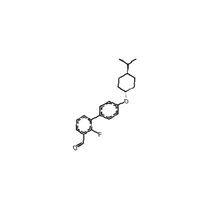 CC(C)[C@H]1CC[C@H](Oc2ccc(-c3cccc(C=O)c3F)cc2)CC1